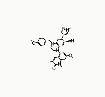 COc1ccc(CN2CCN(c3cc(OC)cc4c3cc(C)c(=O)n4C)c3cc(C#N)c(-c4cnn(C)c4)cc32)cc1